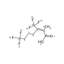 CC(C(=O)O)=C(CCCC(F)(F)F)C(F)(F)F